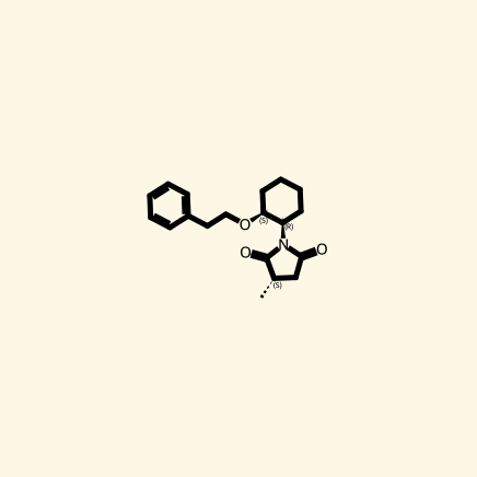 C[C@H]1CC(=O)N([C@@H]2CCCC[C@@H]2OCCc2ccccc2)C1=O